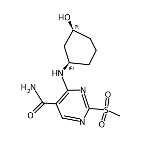 CS(=O)(=O)c1ncc(C(N)=O)c(N[C@@H]2CCC[C@H](O)C2)n1